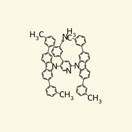 Cc1cccc(-c2ccc3c4ccc(-c5cccc(C)c5)cc4n(-c4cc(-c5cccc(C#N)c5)c(-n5c6cc(-c7cccc(C)c7)ccc6c6ccc(-c7cccc(C)c7)cc65)cn4)c3c2)c1